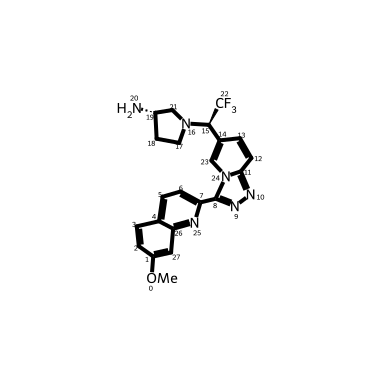 COc1ccc2ccc(-c3nnc4ccc([C@@H](N5CC[C@H](N)C5)C(F)(F)F)cn34)nc2c1